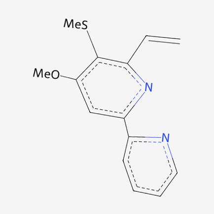 C=Cc1nc(-c2ccccn2)cc(OC)c1SC